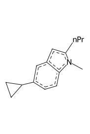 CCCc1cc2cc(C3CC3)ccc2n1C